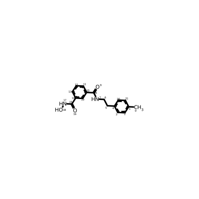 Cc1ccc(CCNC(=O)c2cccc(C(=O)NO)c2)cc1